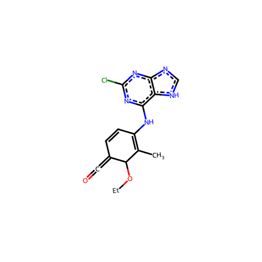 CCOC1C(=C=O)C=CC(Nc2nc(Cl)nc3nc[nH]c23)=C1C